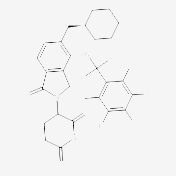 [2H]c1c([2H])c([2H])c(C([2H])([2H])N[C@H]2CCCC[C@@H]2Cc2ccc3c(c2)CN(C2CCC(=O)NC2=O)C3=O)c([2H])c1[2H]